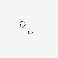 Cc1cc(C)cc(Oc2ccc(N)cc2N)c1